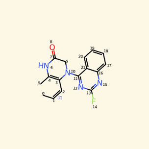 C/C=C\C1=C(C)NC(=O)CN1c1nc(F)nc2ccccc12